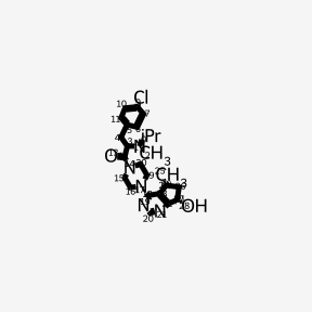 CC(C)N(C)C(Cc1ccc(Cl)cc1)C(=O)N1CCN(c2ncnc3c2[C@H](C)C[C@H]3O)CC1